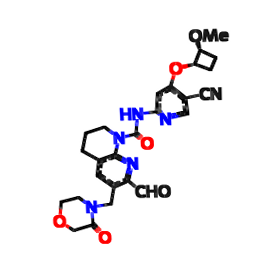 CO[C@H]1CC[C@H]1Oc1cc(NC(=O)N2CCCc3cc(CN4CCOCC4=O)c(C=O)nc32)ncc1C#N